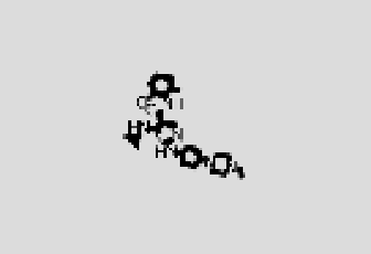 CCN1CCN(c2ccc(Nc3ncc(C(=O)Nc4c(C)cccc4Cl)c(NC4CC4)n3)cc2)CC1